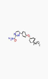 NC(=O)c1nccc(-c2ccc(Oc3ccc([N+](=O)[O-])cc3)cc2)n1